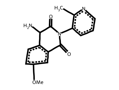 COc1ccc2c(c1)C(=O)N(c1cccnc1C)C(=O)C2N